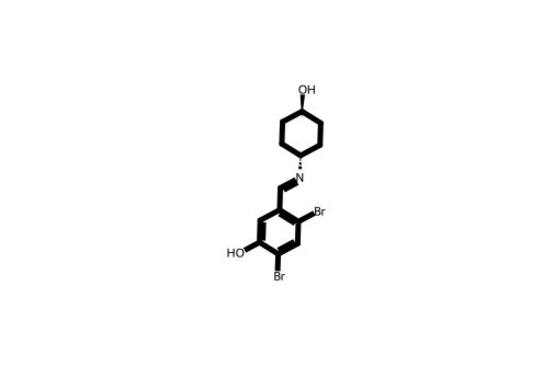 Oc1cc(C=N[C@H]2CC[C@H](O)CC2)c(Br)cc1Br